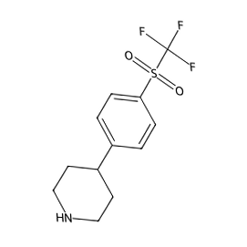 O=S(=O)(c1ccc(C2CCNCC2)cc1)C(F)(F)F